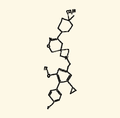 CCOC(=O)C1(C)CCC(C2=NOCC3(C2)CN(Cc2cc(OCC)c(-c4ccc(F)cc4)c(C4CC4)c2)C3)CC1